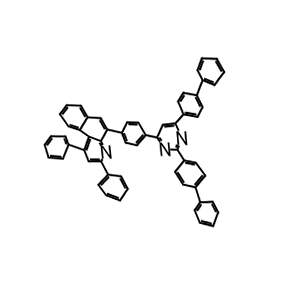 c1ccc(-c2ccc(-c3cc(-c4ccc(-c5cc6ccccc6c6c(-c7ccccc7)cc(-c7ccccc7)nc56)cc4)nc(-c4ccc(-c5ccccc5)cc4)n3)cc2)cc1